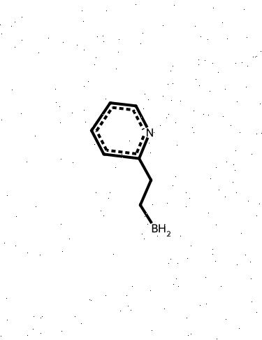 BCCc1ccccn1